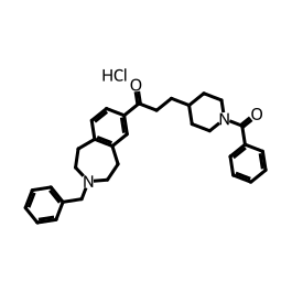 Cl.O=C(CCC1CCN(C(=O)c2ccccc2)CC1)c1ccc2c(c1)CCN(Cc1ccccc1)CC2